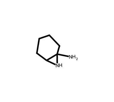 NC12CCCCC1N2